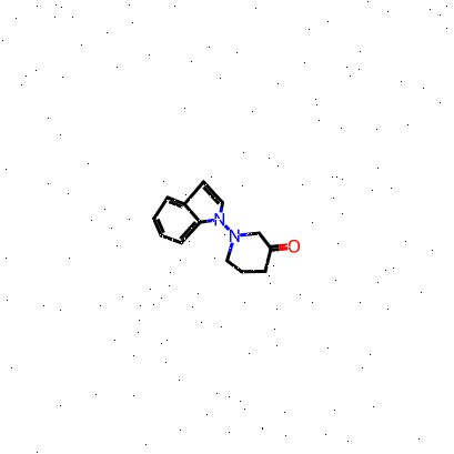 O=C1CCCN(n2ccc3ccccc32)C1